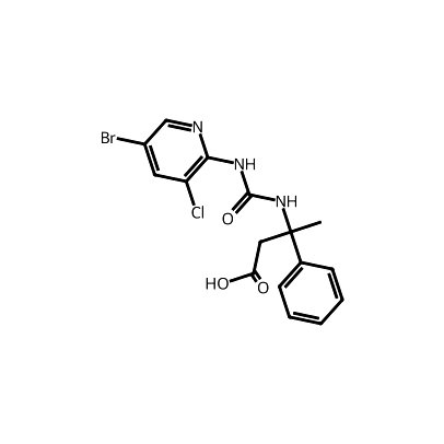 CC(CC(=O)O)(NC(=O)Nc1ncc(Br)cc1Cl)c1ccccc1